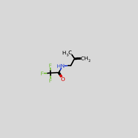 C=C(C)CNC(=O)C(F)(F)F